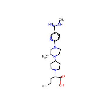 CCCC(C(=O)O)N1CCC(N2CCN(c3ccc(C(=N)NC)cn3)C[C@H]2C)CC1